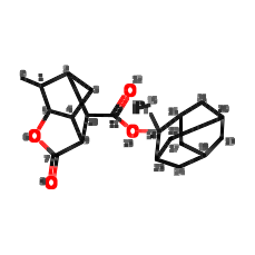 CC1C2CC3C1OC(=O)C3C2C(=O)OC1(C(C)C)C2CC3CC(C2)CC1C3